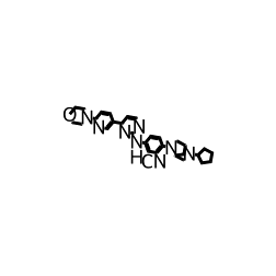 N#Cc1cc(Nc2nccc(-c3ccc(N4CCOCC4)nc3)n2)ccc1N1CC2CC1CN2C1CCCC1